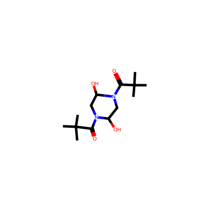 CC(C)(C)C(=O)N1CC(O)N(C(=O)C(C)(C)C)CC1O